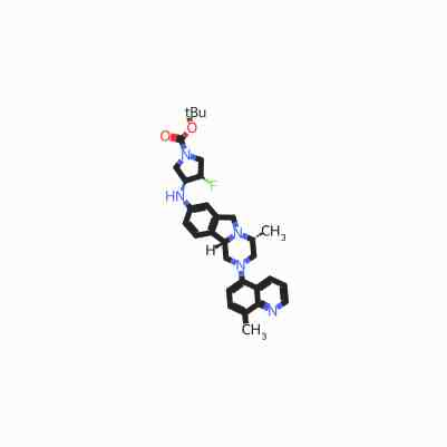 Cc1ccc(N2C[C@@H](C)N3Cc4cc(N[C@H]5CN(C(=O)OC(C)(C)C)C[C@H]5F)ccc4[C@H]3C2)c2cccnc12